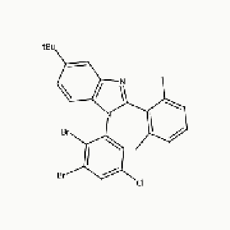 Cc1cccc(C)c1-c1nc2cc(C(C)(C)C)ccc2n1-c1cc(Cl)cc(Br)c1Br